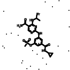 CC(C)C(C)Nc1nc(Nc2cc(OS(C)(=O)=O)cc(C(=O)NC3CC3)c2)ncc1C(N)=O